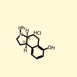 CCCN1CC[C@H]2c3cccc(O)c3CC[C@H]21.Cl